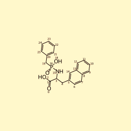 O=C(O)C(Cc1ccc2ccccc2c1)NP(=O)(O)Cc1ccccc1